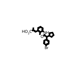 CC(=Cc1cccc(NC(=O)C(c2ccc(Br)cc2)C2CCCC2)c1C)C(=O)O